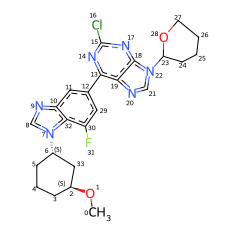 CO[C@H]1CCC[C@H](n2cnc3cc(-c4nc(Cl)nc5c4ncn5C4CCCCO4)cc(F)c32)C1